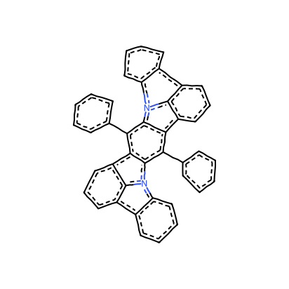 c1ccc(-c2c3c4cccc5c6ccccc6n(c3c(-c3ccccc3)c3c6cccc7c8ccccc8n(c23)c76)c54)cc1